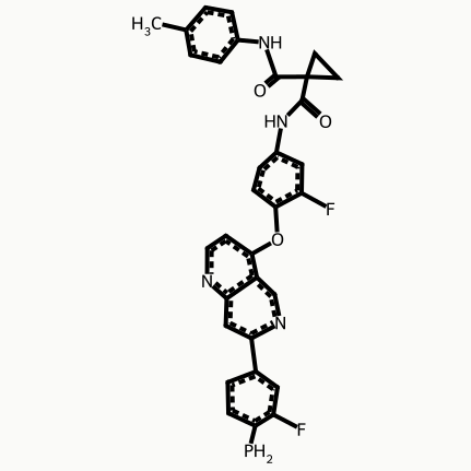 Cc1ccc(NC(=O)C2(C(=O)Nc3ccc(Oc4ccnc5cc(-c6ccc(P)c(F)c6)ncc45)c(F)c3)CC2)cc1